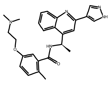 Cc1ccc(OCCN(C)C)cc1C(=O)N[C@H](C)c1cc(-c2cn[nH]c2)nc2ccccc12